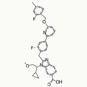 COCC(C1CC1)n1c(Cc2ccc(-c3cccc(OCc4ccc(C)cc4F)n3)cc2F)nc2ccc(C(=O)O)cc21